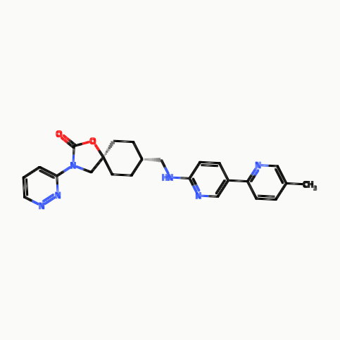 Cc1ccc(-c2ccc(NC[C@H]3CC[C@]4(CC3)CN(c3cccnn3)C(=O)O4)nc2)nc1